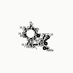 CNC(=O)c1ccccc1Sc1ccc2c(/C=C/c3ccccn3)nn(C(=O)N(CCNC(=O)CC[C@@H](N)C(=O)O)CC(C)OC(=O)CCC(=O)N[C@H](C(=O)N[C@@H](CCN)C(=O)N[C@H]3CCNC(=O)[C@H]([C@@H](C)O)NC(=O)[C@H](CCN)NC(=O)[C@H](CCN)NC(=O)[C@H](CC(C)C)NC(=O)[C@@H](Cc4ccccc4)NC(=O)[C@H](CCN)NC3=O)[C@H](C)O)c2c1